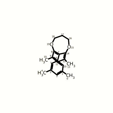 Cc1cc(C)cc(-c2c3c(C)cc(C)c2OCCCO3)c1